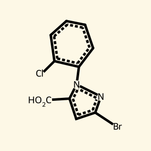 O=C(O)c1cc(Br)nn1-c1ccccc1Cl